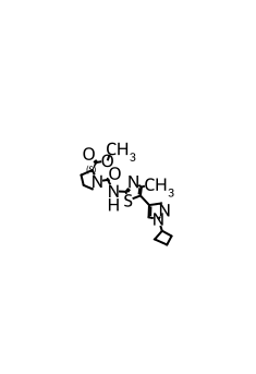 COC(=O)[C@@H]1CCCN1C(=O)Nc1nc(C)c(-c2cnn(C3CCC3)c2)s1